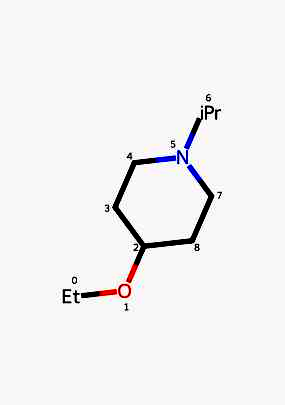 CCO[C]1CCN(C(C)C)CC1